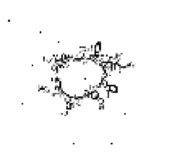 C=C(O)C[C@@H]1NC(=O)[C@@H](Cc2c[nH]c3ccccc23)NC(=O)[C@@H](NC(=O)[C@H](CO)NC(=O)C2OC2CCC)[C@@H](C)OC(=O)[C@H](Cc2c[nH]c3ccccc23)NC(=O)[C@H](CCC(=O)O)NC(=O)[C@@H]([C@H](O)C(N)=O)NC(=O)CNC(=O)[C@H](CC(=O)O)NC(=O)[C@@H](c2ccc(O)cc2)NC(=O)[C@H](CC(=O)O)NC1=O